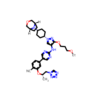 CCOCCCOc1nn([C@H]2CC[C@H](N3[C@@H]4CC[C@H]3COC4)CC2)cc1Nc1ncc(-c2ccc(C#N)c(O[C@@H](C)Cn3cnnn3)c2)cn1